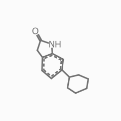 O=C1Cc2ccc(C3CCCCC3)cc2N1